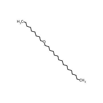 CCCCCCCCCCCCCCC[CH]OCCCCCCCCC